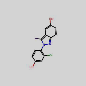 Oc1ccc(-n2nc3ccc(O)cc3c2I)c(Br)c1